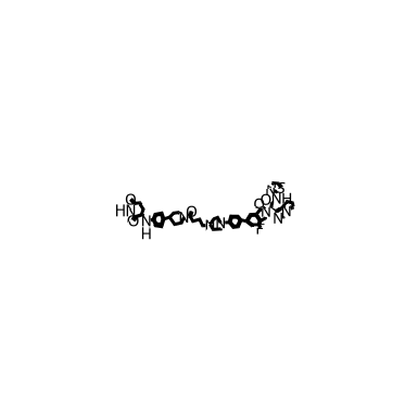 O=C1CC[C@@H](Nc2ccc(C3CCN(C(=O)CCCN4CCN(c5ccc(-c6cc(F)c7c(c6)C(=O)N([C@@H](C(=O)Nc6nccs6)c6ncn8c6CCC8)C7)cc5)CC4)CC3)cc2)C(=O)N1